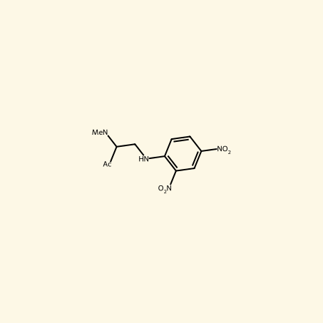 CNC(CNc1ccc([N+](=O)[O-])cc1[N+](=O)[O-])C(C)=O